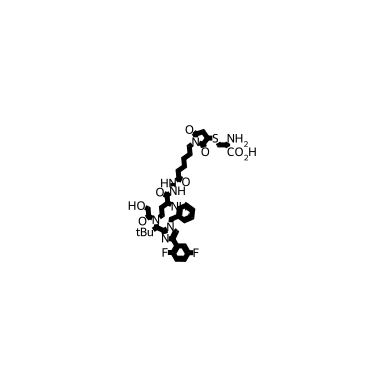 CC(C)(C)C(c1nc(-c2cc(F)ccc2F)cn1Cc1ccccc1)N(CCC(N)C(=O)NNC(=O)CCCCCN1C(=O)CC(SCC(N)C(=O)O)C1=O)C(=O)CO